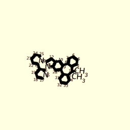 CC1(C)c2ccccc2-c2cc3ccn(-c4ncccc4-c4ccccn4)c3cc2-c2ccccc21